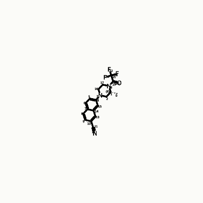 C[C@@H]1CN(c2ccc3ccc(C#N)cc3c2)CCN1C(=O)C(F)(F)F